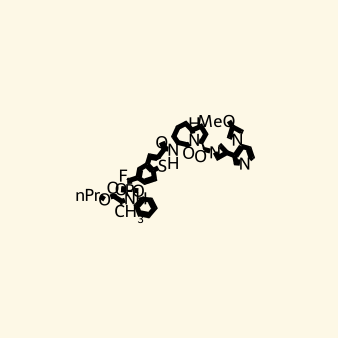 CCCOC(=O)[C@H](C)NP(=O)(Oc1ccccc1)[C@@H](F)c1ccc2sc(C(=O)N[C@H]3CCC[C@H]4CC[C@@H](C(=O)N5CC(c6cnccc6N6CC(OC)C6)C5)N4C3=O)cc2c1